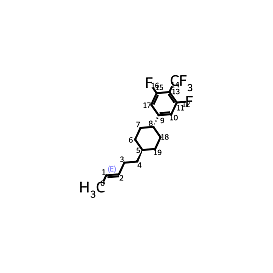 C/C=C/CC[C@H]1CC[C@H](c2cc(F)c(C(F)(F)F)c(F)c2)CC1